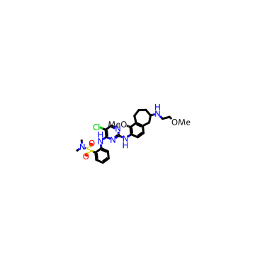 COCCNC1CCCc2c(ccc(Nc3ncc(Cl)c(Nc4ccccc4S(=O)(=O)N(C)C)n3)c2OC)C1